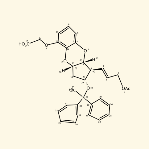 CC(=O)OCC=C[C@@H]1[C@H]2Oc3cccc(OCC(=O)O)c3O[C@H]2C[C@H]1O[Si](c1ccccc1)(c1ccccc1)C(C)(C)C